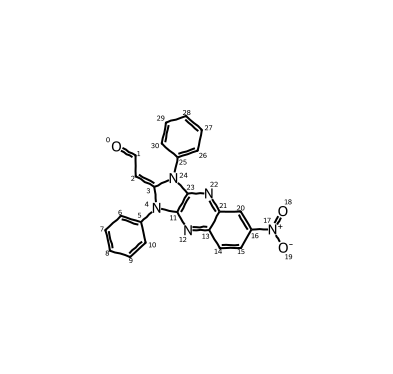 O=CC=C1N(c2ccccc2)c2nc3ccc([N+](=O)[O-])cc3nc2N1c1ccccc1